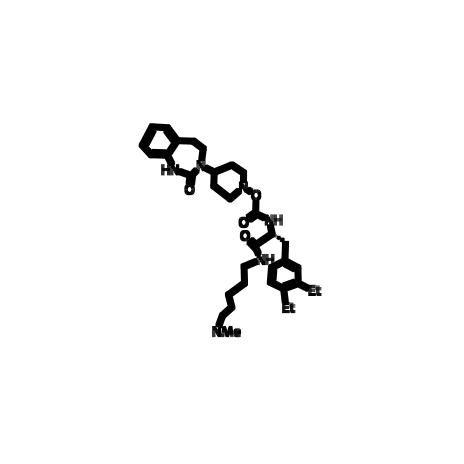 CCc1ccc(C[C@@H](NC(=O)ON2CCC(N3CCc4ccccc4NC3=O)CC2)C(=O)NCCCCCNC)cc1CC